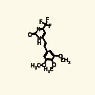 COc1cc(/C=C/c2cc(C(F)(F)F)nc(=O)[nH]2)cc(OC)c1OC